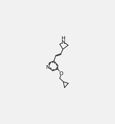 C(=CC1CNC1)c1cncc(OCC2CC2)c1